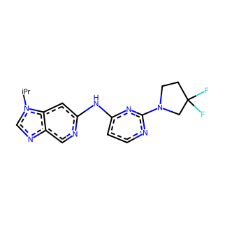 CC(C)n1cnc2cnc(Nc3ccnc(N4CCC(F)(F)C4)n3)cc21